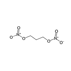 O=[N+]([O-])OCCCO[N+](=O)[O-]